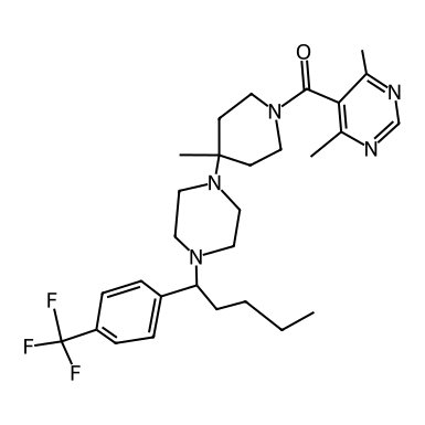 CCCCC(c1ccc(C(F)(F)F)cc1)N1CCN(C2(C)CCN(C(=O)c3c(C)ncnc3C)CC2)CC1